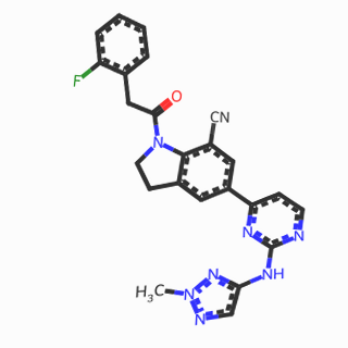 Cn1ncc(Nc2nccc(-c3cc(C#N)c4c(c3)CCN4C(=O)Cc3ccccc3F)n2)n1